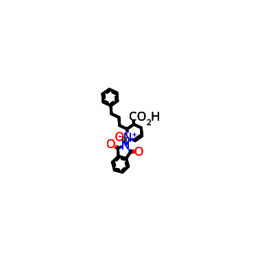 O=C(O)C1CC=C[N@@+]([O-])(N2C(=O)c3ccccc3C2=O)C1CCCc1ccccc1